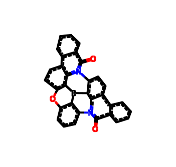 O=c1c2ccccc2c2ccc3c4c2n1-c1ccc2c5ccccc5c(=O)n5c2c1B4c1c(cccc1-5)O3